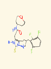 O=C(Cc1[nH]c(=S)n2c1CC(c1c(F)ccc(F)c1F)C2)NC1CCOCC1